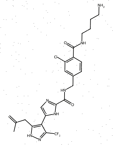 C=C(C)Cc1[nH]nc(C(F)(F)F)c1-c1cnc(C(=O)NCc2ccc(C(=O)NCCCCN)c(Cl)c2)[nH]1